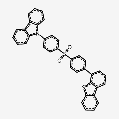 O=S(=O)(c1ccc(-c2cccc3c2sc2ccccc23)cc1)c1ccc(-n2c3ccccc3c3ccccc32)cc1